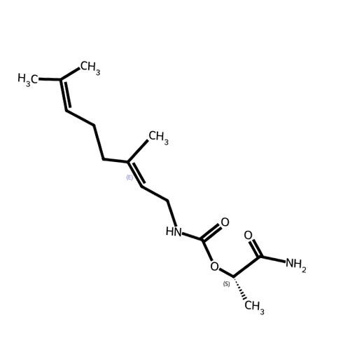 CC(C)=CCC/C(C)=C/CNC(=O)O[C@@H](C)C(N)=O